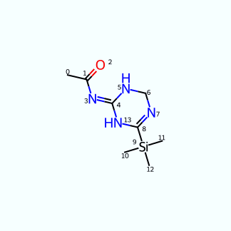 CC(=O)N=C1NCN=C([Si](C)(C)C)N1